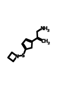 C=C(CN)C1=CC=C(SN2CCC2)C1